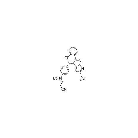 CCN(CCC#N)c1ccc(/N=C2/C(c3ccccc3Cl)=Nn3nc(C4CC4)nc32)cc1